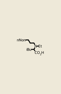 CCCCCCCCCCCCN(CC)C(C(=O)O)C(C)CC